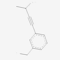 [CH2]C(C#Cc1cccc(CC(C)=O)c1)CCCCCCCC